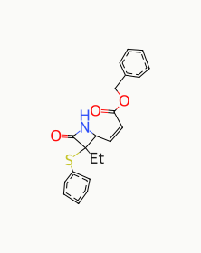 CCC1(Sc2ccccc2)C(=O)NC1/C=C\C(=O)OCc1ccccc1